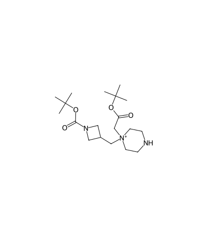 CC(C)(C)OC(=O)C[N+]1(CC2CN(C(=O)OC(C)(C)C)C2)CCNCC1